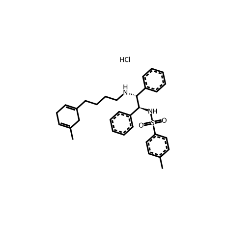 CC1=CCC=C(CCCCN[C@H](c2ccccc2)[C@@H](NS(=O)(=O)c2ccc(C)cc2)c2ccccc2)C1.Cl